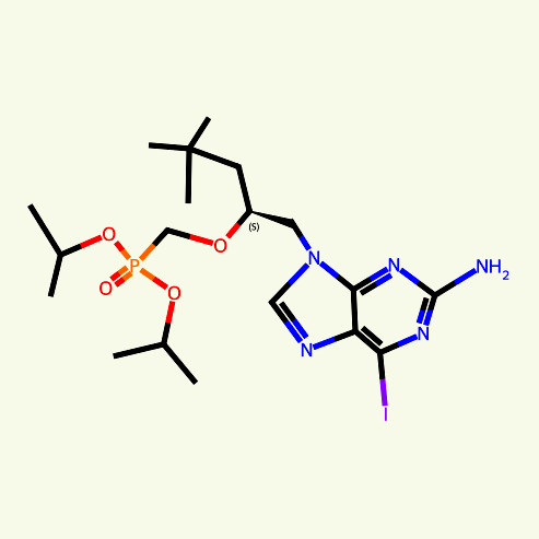 CC(C)OP(=O)(CO[C@H](Cn1cnc2c(I)nc(N)nc21)CC(C)(C)C)OC(C)C